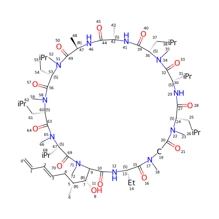 C=CC=CC[C@@H](C)[C@@H](O)C1C(=O)N[C@@H](CC)C(=O)N(C)CC(=O)N(C)[C@@H](CC(C)C)C(=O)N[C@@H](C(C)C)C(=O)N(C)[C@@H](CC(C)C)C(=O)N[C@@H](C)C(=O)N[C@H](C)C(=O)N(C)[C@@H](CC(C)C)C(=O)N(C)[C@@H](CC(C)C)C(=O)N(C)[C@@H](C(C)C)C(=O)N1C